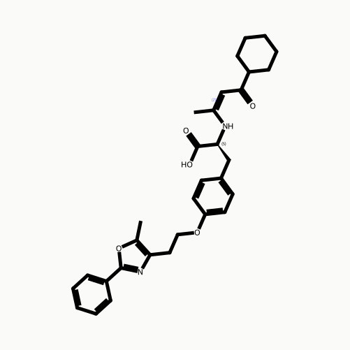 C/C(=C/C(=O)C1CCCCC1)N[C@@H](Cc1ccc(OCCc2nc(-c3ccccc3)oc2C)cc1)C(=O)O